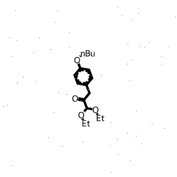 CCCCOc1ccc(CC(=O)C(OCC)OCC)cc1